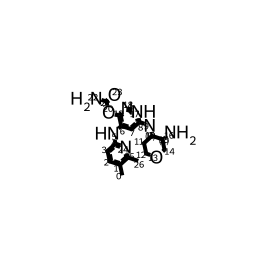 Cc1ccc(Nc2cc(N[C@@H]3CCOC[C@@H]3N)nnc2OC(N)=O)nc1C